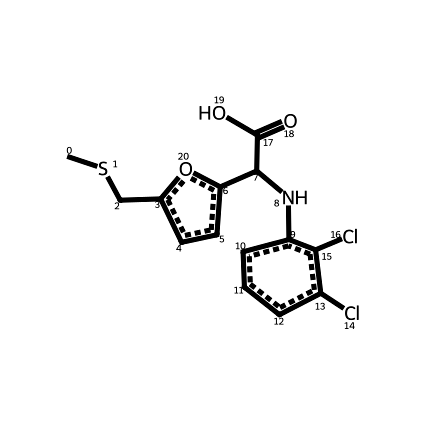 CSCc1ccc(C(Nc2cccc(Cl)c2Cl)C(=O)O)o1